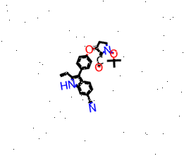 C=Cc1[nH]c2cc(C#N)ccc2c1-c1ccc(O[C@H]2CCN(OC(C)(C)C)C2=C=O)cc1